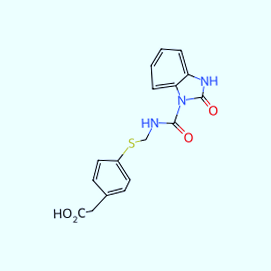 O=C(O)Cc1ccc(SCNC(=O)n2c(=O)[nH]c3ccccc32)cc1